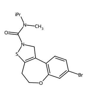 CC(C)N(C)C(=O)N1CC2=C(CCOc3cc(Br)ccc32)S1